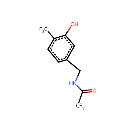 O=C(NCc1ccc(C(F)(F)F)c(O)c1)C(F)(F)F